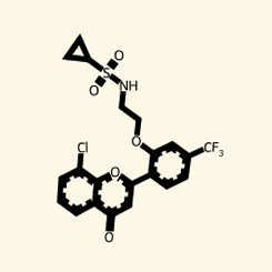 O=c1cc(-c2ccc(C(F)(F)F)cc2OCCNS(=O)(=O)C2CC2)oc2c(Cl)cccc12